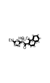 CCc1nnc(NC(=O)c2ccc3ccccc3c2C(=O)O)s1